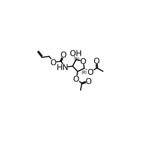 C=CCOC(=O)NC1C(OC(C)=O)[C@@H](OC(C)=O)O[C@H]1O